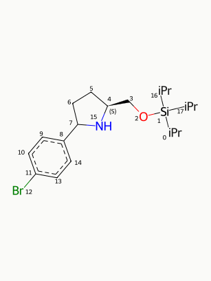 CC(C)[Si](OC[C@@H]1CCC(c2ccc(Br)cc2)N1)(C(C)C)C(C)C